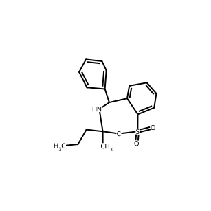 CCCC1(C)CS(=O)(=O)c2ccccc2C(c2ccccc2)N1